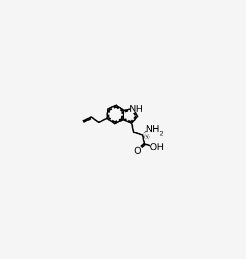 C=CCc1ccc2[nH]cc(C[C@H](N)C(=O)O)c2c1